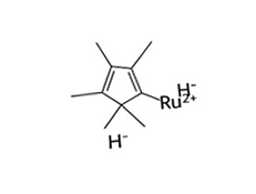 CC1=C(C)C(C)(C)[C]([Ru+2])=C1C.[H-].[H-]